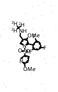 [2H]C([2H])([2H])NCc1cn(S(=O)(=O)c2ccc(OC)nc2)c(-c2c(F)cc(F)cc2F)c1OC